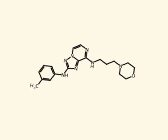 Cc1cccc(Nc2nc3c(NCCCN4CCOCC4)nccn3n2)c1